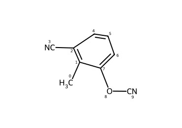 Cc1c(C#N)cccc1OC#N